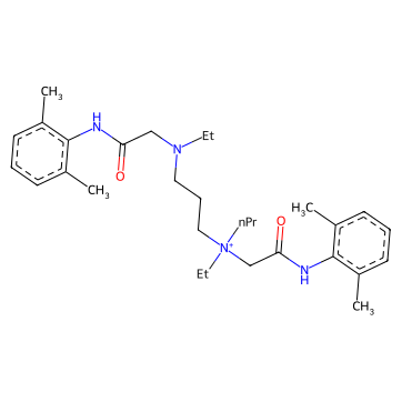 CCC[N+](CC)(CCCN(CC)CC(=O)Nc1c(C)cccc1C)CC(=O)Nc1c(C)cccc1C